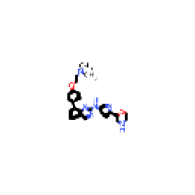 CN(C)CCOc1ccc(-c2cccc3cnc(Nc4ccc(C5CNCCO5)nc4)nc23)cc1